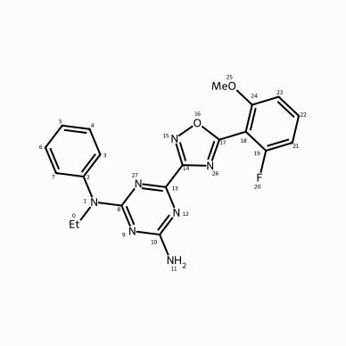 CCN(c1ccccc1)c1nc(N)nc(-c2noc(-c3c(F)cccc3OC)n2)n1